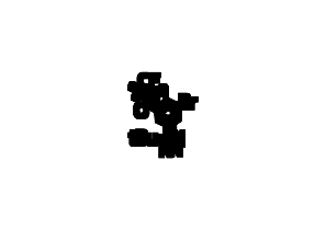 CC(C)(C)c1nnnn1-c1cc(Br)cc(C(=O)NC(C)(C)C(F)(F)F)c1